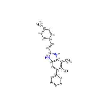 CCc1c(-c2ccccc2)cc2[nH]c(C=Cc3ccc(C)cc3)nc2c1C